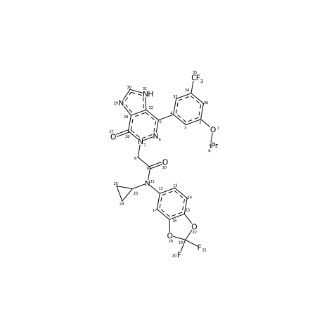 CC(C)Oc1cc(-c2nn(CC(=O)N(c3ccc4c(c3)OC(F)(F)O4)C3CC3)c(=O)c3nc[nH]c23)cc(C(F)(F)F)c1